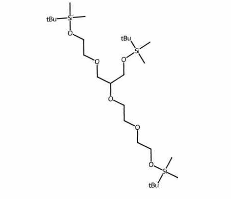 CC(C)(C)[Si](C)(C)OCCOCCOC(COCCO[Si](C)(C)C(C)(C)C)CO[Si](C)(C)C(C)(C)C